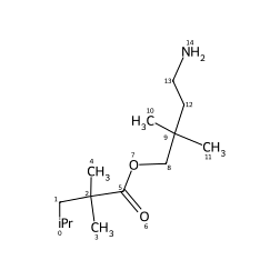 CC(C)CC(C)(C)C(=O)OCC(C)(C)CCN